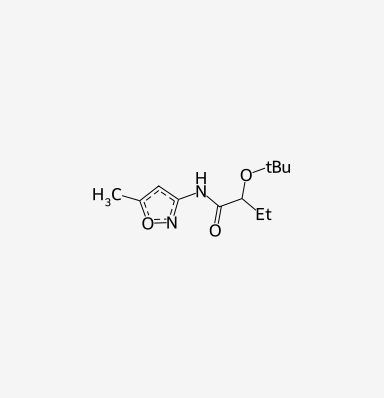 CCC(OC(C)(C)C)C(=O)Nc1cc(C)on1